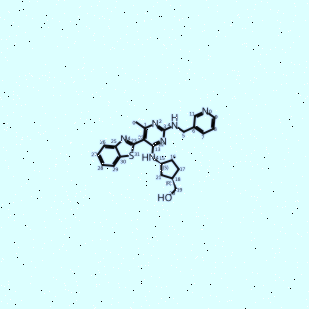 Cc1nc(NCc2cccnc2)nc(N[C@H]2CC[C@@H](CO)C2)c1-c1nc2ccccc2s1